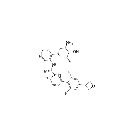 C[C@H]1CN(c2ccncc2Nc2ncc3ccc(-c4c(F)cc(C5COC5)cc4F)nn23)C[C@@H](N)[C@@H]1O